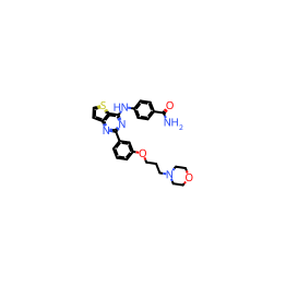 NC(=O)c1ccc(Nc2nc(-c3cccc(OCCCN4CCOCC4)c3)nc3ccsc23)cc1